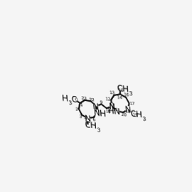 CC1CCN(C)CNN(CCN2CCC(C)CCN(C)CN2)CC1